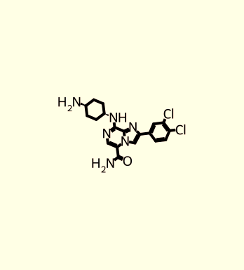 NC(=O)c1cnc(N[C@H]2CC[C@H](N)CC2)c2nc(-c3ccc(Cl)c(Cl)c3)cn12